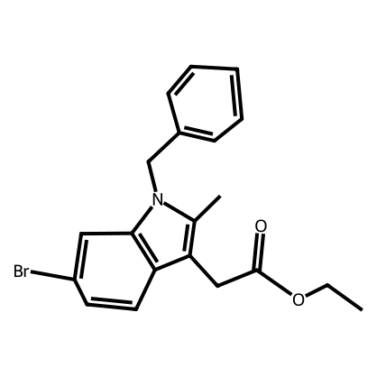 CCOC(=O)Cc1c(C)n(Cc2ccccc2)c2cc(Br)ccc12